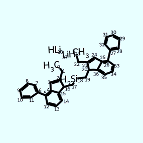 CCC1=Cc2c(-c3ccccc3)cccc2C1C[SiH2]CC1C(CC)=Cc2c(-c3ccccc3)cccc21.[LiH].[LiH]